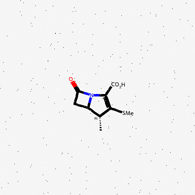 CSC1=C(C(=O)O)N2C(=O)CC2[C@H]1C